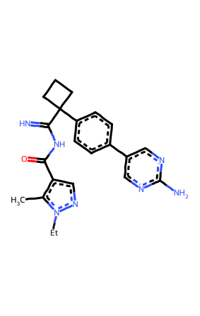 CCn1ncc(C(=O)NC(=N)C2(c3ccc(-c4cnc(N)nc4)cc3)CCC2)c1C